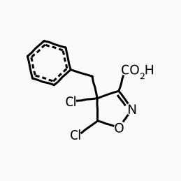 O=C(O)C1=NOC(Cl)C1(Cl)Cc1ccccc1